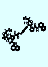 CN[C@@H](C)C(=O)N[C@@H](C#CC#CCCC(=O)N[C@H]1C[C@@H](C(=O)N[C@@H]2CCCc3ccccc32)N(C(=O)[C@@H](NC(=O)[C@H](C)NC)C(C)(C)C)C1)C(=O)N1CCC[C@H]1C(=O)N[C@@H]1CCCc2ccccc21